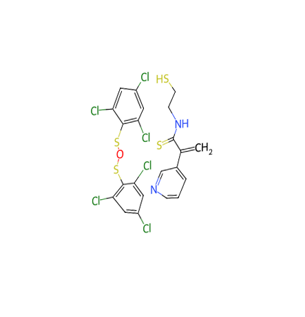 C=C(C(=S)NCCS)c1cccnc1.Clc1cc(Cl)c(SOSc2c(Cl)cc(Cl)cc2Cl)c(Cl)c1